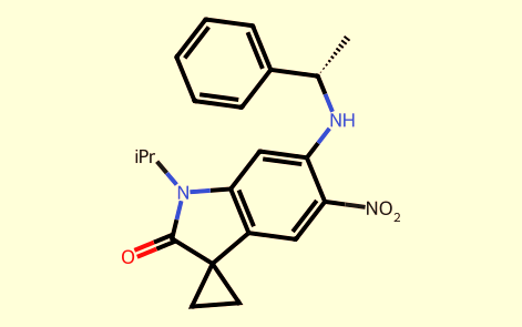 CC(C)N1C(=O)C2(CC2)c2cc([N+](=O)[O-])c(N[C@@H](C)c3ccccc3)cc21